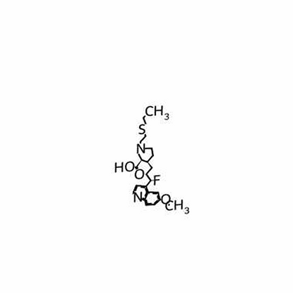 CCCSCCN1CC[C@@H](CC[C@H](F)c2ccnc3ccc(OC)cc23)[C@@H](C(=O)O)C1